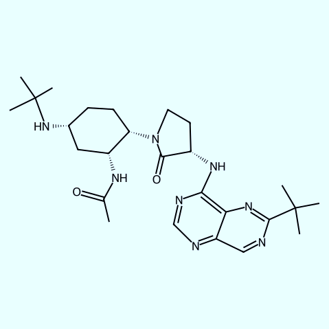 CC(=O)N[C@@H]1C[C@H](NC(C)(C)C)CC[C@@H]1N1CC[C@H](Nc2ncnc3cnc(C(C)(C)C)nc23)C1=O